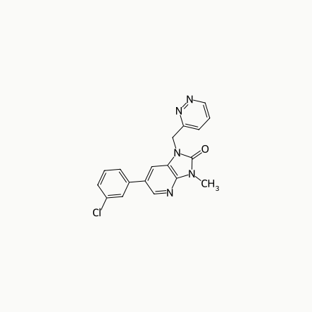 Cn1c(=O)n(Cc2cccnn2)c2cc(-c3cccc(Cl)c3)cnc21